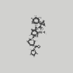 Nc1nc(N2CCC[C@@H](C(=O)N3CCCC3)C2)ccc1NC(=O)C1(c2cccnc2)CC1